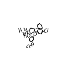 CCOc1ccc2c(c1)O[C@@]1(c3ccc(Cl)cc3)[C@H](c3ccccc3)C[C@@H](N)[C@]21O